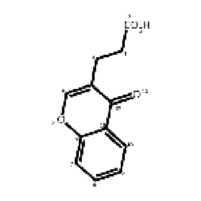 O=C(O)CCc1coc2ccccc2c1=O